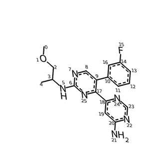 COCC(C)Nc1ncc(-c2cccc(F)c2)c(-c2cc(N)ncn2)n1